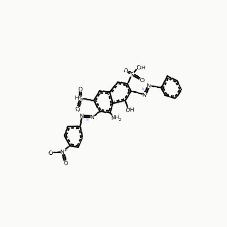 Nc1c(/N=N/c2ccc([N+](=O)[O-])cc2)c([SH](=O)=O)cc2cc(S(=O)(=O)O)c(/N=N/c3ccccc3)c(O)c12